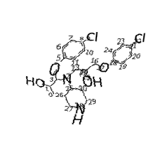 CC(O)C(Oc1ccc(Cl)cc1)N(C[C@@H](O)COc1ccc(Cl)cc1)C1CCNCC1